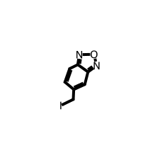 ICc1ccc2nonc2c1